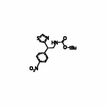 CC(C)(C)OC(=O)NCC(c1ccc([N+](=O)[O-])cc1)c1cscn1